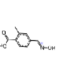 Cc1cc(/C=N/O)ccc1C(=O)O